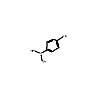 CCCN(CCC)c1ccc(C#N)cc1